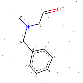 CN(C[C]=O)Cc1ccccc1